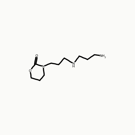 NCCCNCCCN1CCCOC1=O